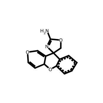 NC1=NC2(CO1)C1=COC=CC1Oc1ccccc12